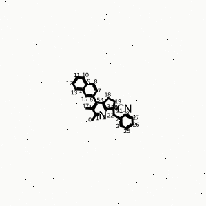 Cc1nc2c(c(-c3ccc4ccccc4c3)c1C)CC[C@@]2(C#N)Cc1ccccc1